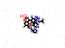 Cc1ccc([C@@H](CC(=O)O)c2ccc3c(nnn3CC3CC3)c2C)cc1CN1C[C@]2(C)CCCN2c2ncccc2S1(=O)=O